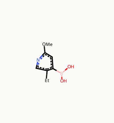 CCc1cnc(OC)cc1B(O)O